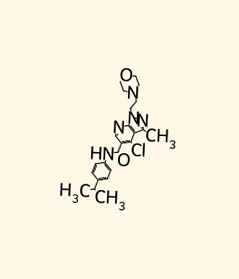 Cc1nn(CCN2CCOCC2)c2ncc(C(=O)Nc3ccc(C(C)C)cc3)c(Cl)c12